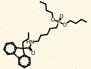 CCCCOP(=O)(CCCCCNC(=O)C1(CCC)c2ccccc2-c2ccccc21)OCCCC